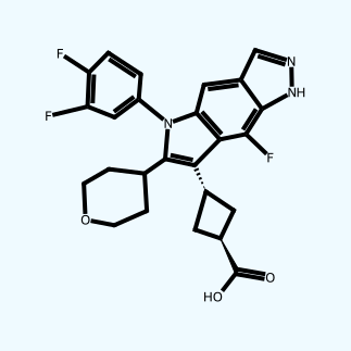 O=C(O)[C@H]1C[C@H](c2c(C3CCOCC3)n(-c3ccc(F)c(F)c3)c3cc4cn[nH]c4c(F)c32)C1